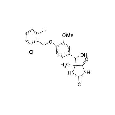 COc1cc(C(O)C2(C)NC(=O)NC2=O)ccc1OCc1c(F)cccc1Cl